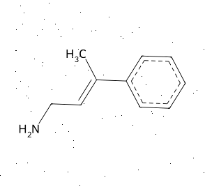 CC(=CCN)c1ccccc1